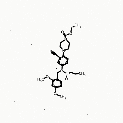 CCC[S+]([O-])N(Cc1ccc(OC)cc1OC)c1ccc(N2CCN(C(=O)OCC)CC2)c(C#N)c1